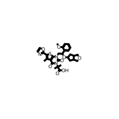 COc1ccccc1C(Cn1c(=O)n(C(C)(C)C(=O)O)c(=O)c2c(C)c(-c3ncco3)sc21)OC1CC2COCC2C1